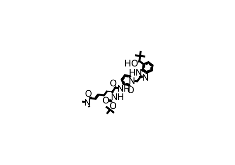 CN(C)C(=O)/C=C/CC[C@H](NC(=O)OC(C)(C)C)C(=O)Nc1cccn(Cc2nc3cccc(C(O)C(C)(C)C)c3[nH]2)c1=O